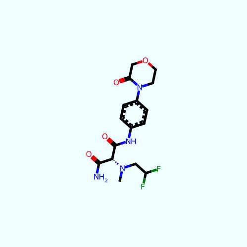 CN(CC(F)F)[C@H](C(N)=O)C(=O)Nc1ccc(N2CCOCC2=O)cc1